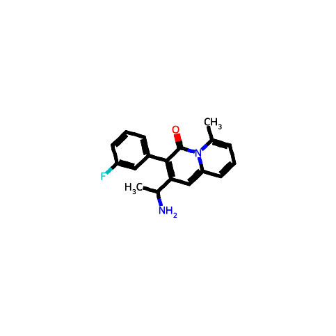 Cc1cccc2cc(C(C)N)c(-c3cccc(F)c3)c(=O)n12